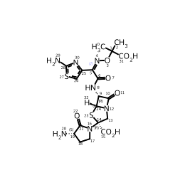 CC(C)(O/N=C(\C(=O)N[C@@H]1C(=O)N2C[C@@](C(=O)O)(N3CC[C@H](N)C3=O)S[C@H]12)c1csc(N)n1)C(=O)O